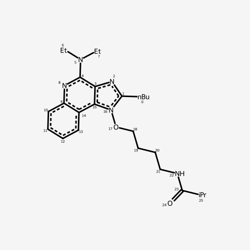 CCCCc1nc2c(N(CC)CC)nc3ccccc3c2n1OCCCCNC(=O)C(C)C